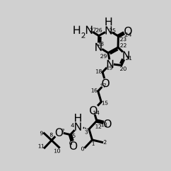 CC(C)[C@H](NC(=O)OC(C)(C)C)C(=O)OCCOCn1cnc2c(=O)[nH]c(N)nc21